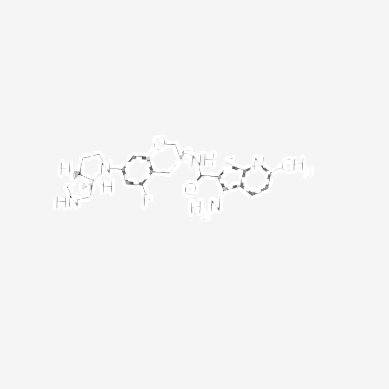 Cc1ccc2c(N)c(C(=O)N[C@H]3COc4cc(N5CC[C@@H]6CNC[C@@H]65)cc(F)c4C3)sc2n1